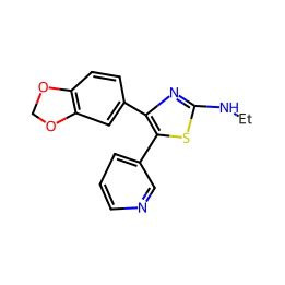 CCNc1nc(-c2ccc3c(c2)OCO3)c(-c2cccnc2)s1